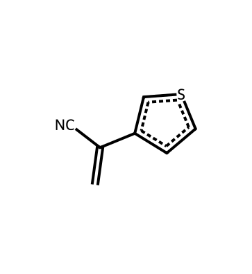 C=C(C#N)c1ccsc1